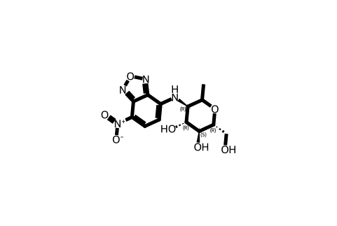 CC1O[C@H](CO)[C@@H](O)[C@H](O)[C@H]1Nc1ccc([N+](=O)[O-])c2nonc12